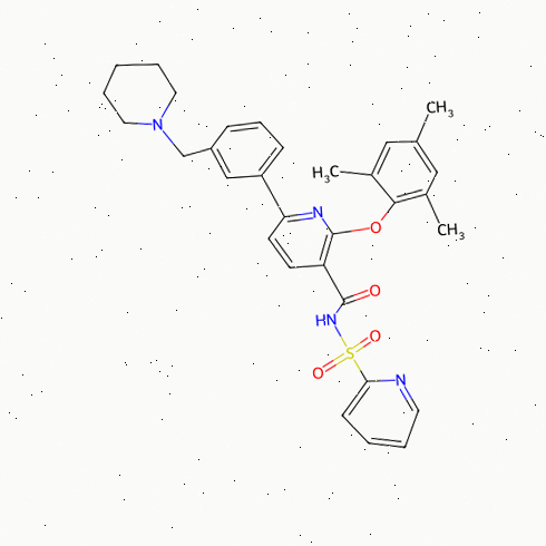 Cc1cc(C)c(Oc2nc(-c3cccc(CN4CCCCC4)c3)ccc2C(=O)NS(=O)(=O)c2ccccn2)c(C)c1